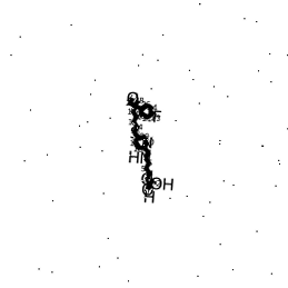 O=[PH](O)OCCCNCc1ccc(SCCCCC2(c3ccc(F)cc3)COC2)cn1